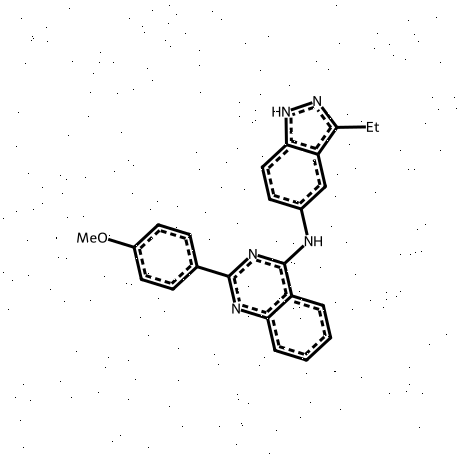 CCc1n[nH]c2ccc(Nc3nc(-c4ccc(OC)cc4)nc4ccccc34)cc12